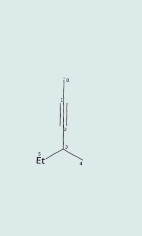 [CH2]C#CC(C)CC